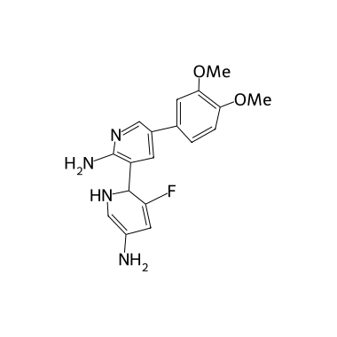 COc1ccc(-c2cnc(N)c(C3NC=C(N)C=C3F)c2)cc1OC